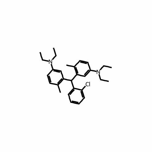 CCN(CC)c1ccc(C)c(C(c2cc(N(CC)CC)ccc2C)c2ccccc2Cl)c1